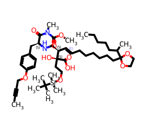 CC#CCOc1ccc(C[C@H](NC(=O)[C@@H](/C=C/CCCCCCC2(C(C)CCCCC)OCCO2)[C@@](O)(CCO[Si](C)(C)C(C)(C)C)C(=O)O)C(=O)N(C)C(=O)OC)cc1